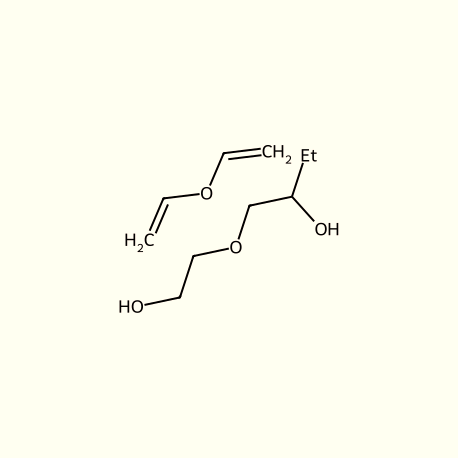 C=COC=C.CCC(O)COCCO